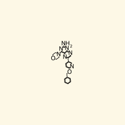 Nc1nc(N2CCOCC2)c2nc(-c3ccc(OCc4ccccc4)nc3)cnc2n1